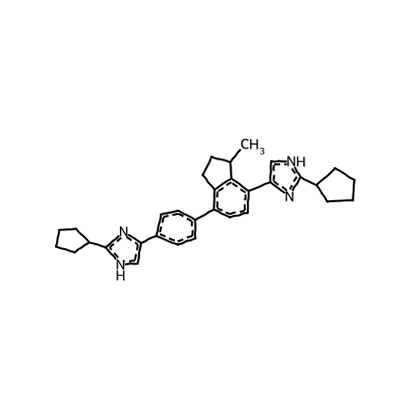 CC1CCc2c(-c3ccc(-c4c[nH]c(C5CCCC5)n4)cc3)ccc(-c3c[nH]c(C4CCCC4)n3)c21